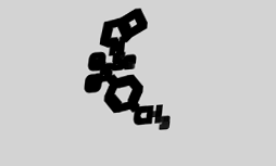 Cc1ccc(S(=O)(=O)[Se]n2ccc3c2CC3)cc1